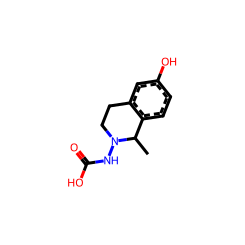 CC1c2ccc(O)cc2CCN1NC(=O)O